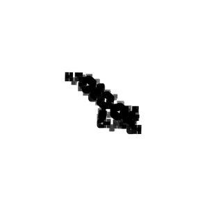 CC#C[C@H]1CN(S(=O)(=O)c2ccc(N)nc2)CCN1c1ccc([C@@](O)(CO)C(F)(F)F)cc1